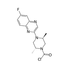 C[C@@H]1CN(c2cnc3cc(F)ccc3n2)[C@@H](C)CN1C(=O)Cl